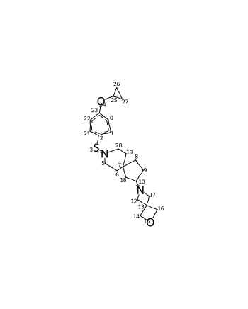 c1cc(SN2CCC3(CCC(N4CC5(COC5)C4)C3)CC2)ccc1OC1CC1